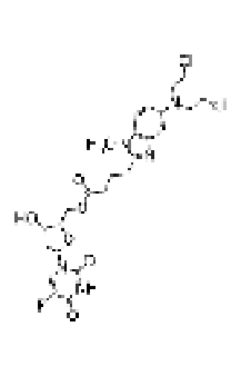 Cn1c(CCCC(=O)OCC2O[C@@H](n3cc(F)c(=O)[nH]c3=O)CC2O)nc2cc(N(CCCl)CCCl)ccc21